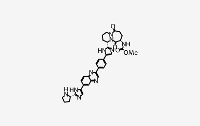 COC(=O)N[C@H]1CCC(=O)N2CCC[C@@H](c3ncc(-c4ccc(-c5cnc6cc(-c7cnc([C@@H]8CCCN8)[nH]7)ccc6n5)cc4)[nH]3)N2C1=O